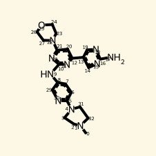 CN1CCN(c2ccc(Nc3nc(-c4cnc(N)nc4)cc(N4CCOCC4)n3)cn2)CC1